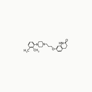 Cc1cccc(N2CCN(CCCOc3ccc4c(c3)NC(=O)CC4)CC2)c1C